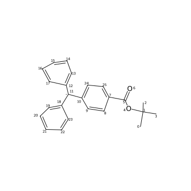 CC(C)(C)OC(=O)c1ccc([C](c2ccccc2)c2ccccc2)cc1